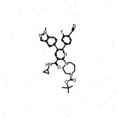 Cn1ncc2cc(-c3cc(C(=O)NC4CC4)c(N4CCCN(C(=O)OC(C)(C)C)CC4)nc3-c3ccc(C#N)c(F)c3)ccc21